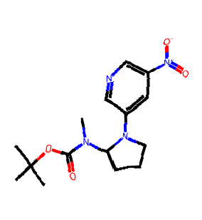 CN(C(=O)OC(C)(C)C)C1CCCN1c1cncc([N+](=O)[O-])c1